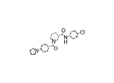 O=C(Nc1ccc(Cl)cc1)C1CCCN(C(=O)c2ccc(-n3cccc3)cc2)C1